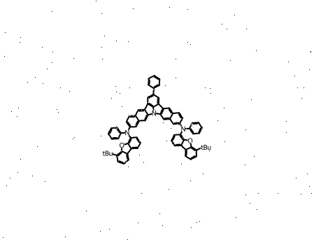 CC(C)(C)c1cccc2c1oc1c(N(c3ccccc3)c3ccc4cc5c6cc(-c7ccccc7)cc7c8cc9ccc(N(c%10ccccc%10)c%10cccc%11c%10oc%10c(C(C)(C)C)cccc%10%11)cc9cc8n(c5cc4c3)c67)cccc12